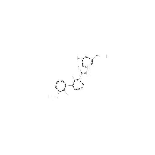 Cc1c(N)cccc1-c1cccc(-c2nc3c(Cl)cc(CO)cn3n2)c1C